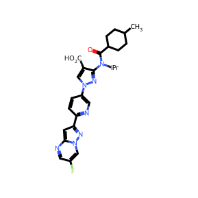 CC1CCC(C(=O)N(c2nn(-c3ccc(-c4cc5ncc(F)cn5n4)nc3)cc2C(=O)O)C(C)C)CC1